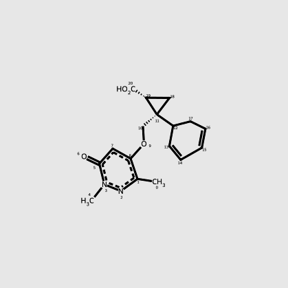 Cc1nn(C)c(=O)cc1OC[C@@]1(C2C=CC=CC2)C[C@H]1C(=O)O